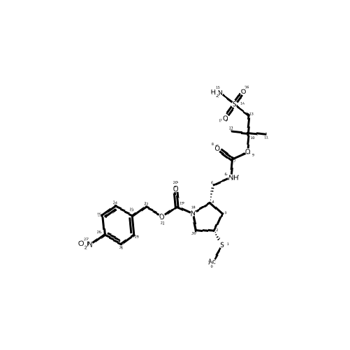 CC(=O)S[C@H]1C[C@@H](CNC(=O)OC(C)(C)CS(N)(=O)=O)N(C(=O)OCc2ccc([N+](=O)[O-])cc2)C1